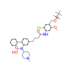 COc1cc(NC(=O)CCCc2ccc(-c3ccccc3)c(N(C(=O)O)C3CCN(C)CC3)c2)c(Cl)cc1CO[Si](C)(C)C(C)(C)C